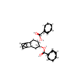 O=C(O[C@H]1CC2C(C[C@@H]1OC(=O)c1ccccc1)C13CCC21C3)c1ccccc1